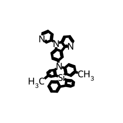 Cc1ccc2c(c1)[Si]1(c3ccccc3-c3ccccc31)c1cc(C)ccc1N2c1ccc2c(c1)c1ncccc1n2-c1cccnc1